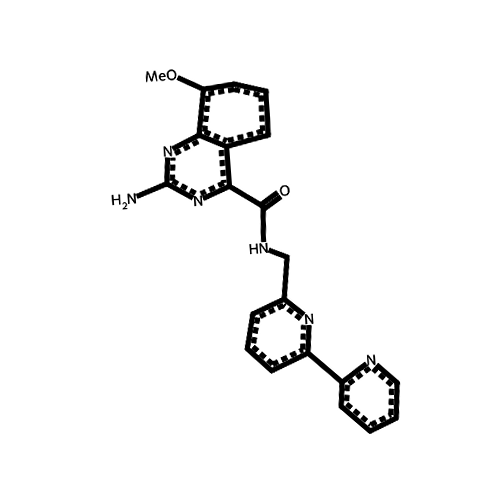 COc1cccc2c(C(=O)NCc3cccc(-c4ccccn4)n3)nc(N)nc12